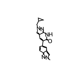 Cn1cc2cc(-c3cc4cn(CC5CC5)nc4[nH]c3=O)ccc2n1